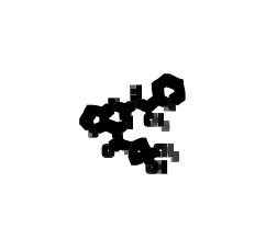 C[C@H](Nc1nc(C(=O)N2CC(C)(O)C2)c2sccc2n1)c1ccccn1